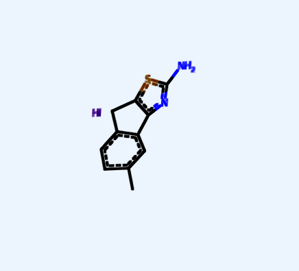 Cc1ccc2c(c1)-c1nc(N)sc1C2.I